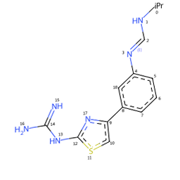 CC(C)N/C=N/c1cccc(-c2csc(NC(=N)N)n2)c1